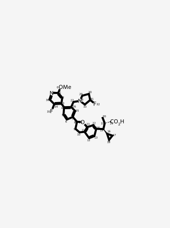 COc1cc(-c2ccc(C3CCc4ccc([C@H](C5CC5)[C@H](C)C(=O)O)cc4O3)cc2CN2CCC(F)C2)c(F)cn1